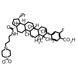 CC(C)[C@@H]1CC[C@]2(C(=O)NCCCN3CCS(=O)(=O)CC3)CC[C@]3(C)[C@H](CC[C@@H]4[C@@]5(C)CC=C(c6ccc(C(=O)O)c(F)c6)C(C)(C)[C@@H]5CC[C@]43C)[C@@H]12